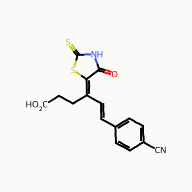 N#Cc1ccc(/C=C/C(CCC(=O)O)=C2/SC(=S)NC2=O)cc1